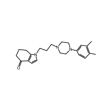 Cc1ccc(N2CCN(CCCn3ccc4c3CCCC4=O)CC2)cc1C